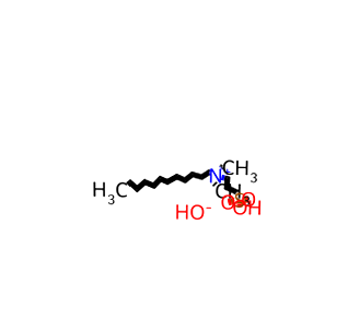 CCCCCCCCCCCC[N+](CC)(CC)CCCS(=O)(=O)O.[OH-]